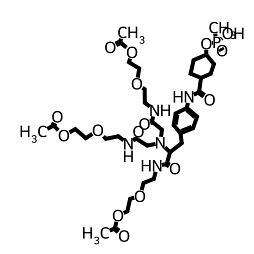 CC(=O)OCCOCCNC(=O)CN(CC(=O)NCCOCCOC(C)=O)C(Cc1ccc(NC(=O)C2CCC(OP(C)(=O)O)CC2)cc1)C(=O)NCCOCCOC(C)=O